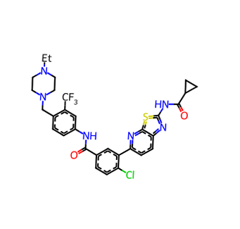 CCN1CCN(Cc2ccc(NC(=O)c3ccc(Cl)c(-c4ccc5nc(NC(=O)C6CC6)sc5n4)c3)cc2C(F)(F)F)CC1